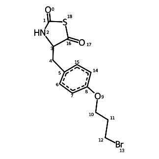 O=C1NC(Cc2ccc(OCCCBr)cc2)C(=O)S1